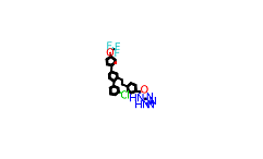 O=C(Nc1nnn[nH]1)c1ccc(CCc2cc(-c3ccc(OC(F)(F)F)cc3)ccc2-c2cccc(Cl)c2)cc1